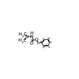 CN(C)NC(=O)OCc1ccccc1